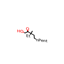 CCCCCCCC(C)(CC)C(=O)CO